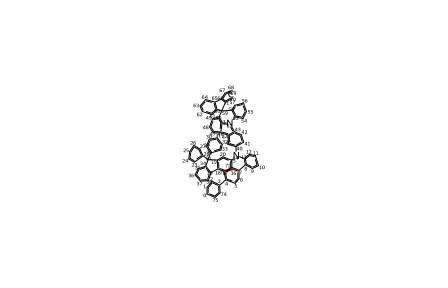 c1ccc(-c2ccc(-c3ccccc3N(c3ccc4c(c3)C(c3ccccc3)(c3ccccc3)c3ccccc3-4)c3ccc4c(c3)c3cccc5c3n4-c3ccccc3C53c4ccccc4-c4ccccc43)cc2)cc1